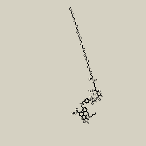 CCCCc1nc2c(N)nc3cc(C(=O)O)ccc3c2n1Cc1ccc(C[N+](C)(C)Cc2ccc(NC(=O)[C@H](C)NC(=O)[C@@H](NC(=O)[C@@H](N)CCCCNC(=O)CCOCCOCCOCCOCCOCCOCCOCCOCCOCCOCCOCCOC)C(C)C)cc2)cc1